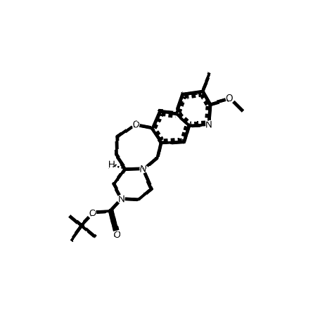 COc1nc2cc3c(cc2cc1C)OCC[C@@H]1CN(C(=O)OC(C)(C)C)CCN1C3